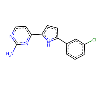 Nc1nccc(-c2ccc(-c3cccc(Cl)c3)[nH]2)n1